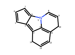 C1=Cc2c3c4n(c2=C1)C=CCC=4C=CC3